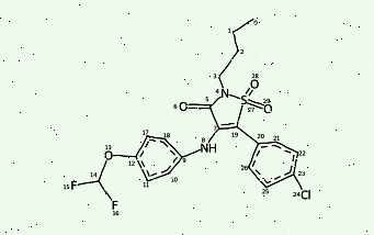 CCCCN1C(=O)C(Nc2ccc(OC(F)F)cc2)=C(c2ccc(Cl)cc2)S1(=O)=O